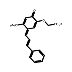 COC1=CC(=O)C(OCC(=O)O)=CC1=CC=Cc1ccccc1